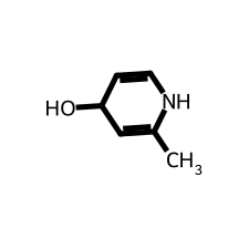 CC1=CC(O)C=CN1